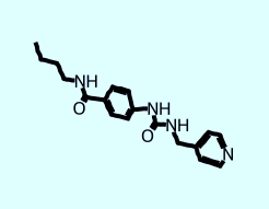 CCCCNC(=O)c1ccc(NC(=O)NCc2ccncc2)cc1